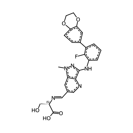 Cn1nc(Nc2cccc(-c3ccc4c(c3)OCCO4)c2F)c2ncc(C=N[C@@H](CO)C(=O)O)cc21